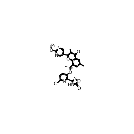 Cc1cc([C@@H](C)Oc2ccc(Cl)nc2-c2noc(=O)[nH]2)c2oc(-c3cnc(OC(C)C)nc3)c(C)c(=O)c2c1